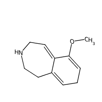 COC1=CCC=C2CCNCC=C21